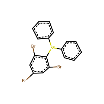 Brc1cc(Br)c([S+](c2ccccc2)c2ccccc2)c(Br)c1